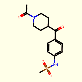 CC(=O)N1CCC(C(=O)c2ccc(NS(C)(=O)=O)cc2)CC1